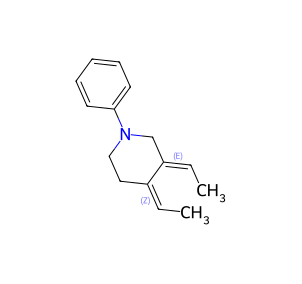 C/C=C1/CCN(c2ccccc2)C/C1=C/C